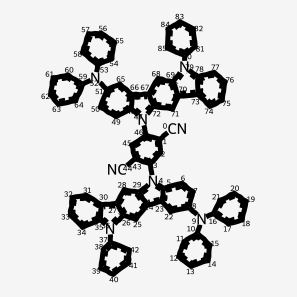 N#Cc1cc(-n2c3ccc(N(c4ccccc4)c4ccccc4)cc3c3cc4c(cc32)c2ccccc2n4-c2ccccc2)c(C#N)cc1-n1c2ccc(N(c3ccccc3)c3ccccc3)cc2c2cc3c(cc21)c1ccccc1n3-c1ccccc1